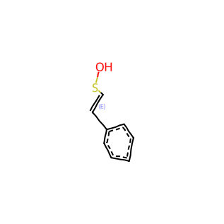 OS/C=C/c1ccccc1